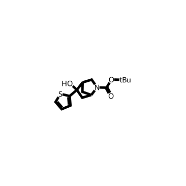 CC(C)(C)OC(=O)N1CC2CC1CC2(O)c1cccs1